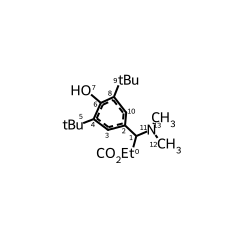 CCOC(=O)C(c1cc(C(C)(C)C)c(O)c(C(C)(C)C)c1)N(C)C